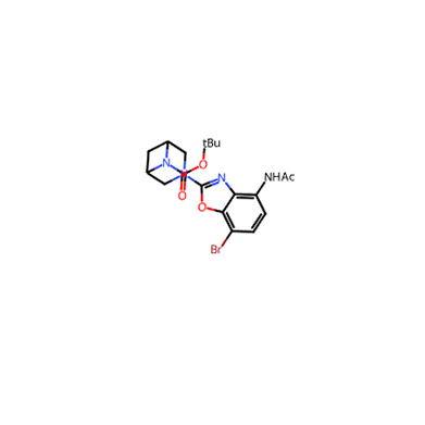 CC(=O)Nc1ccc(Br)c2oc(N3CC4CC(C3)N4C(=O)OC(C)(C)C)nc12